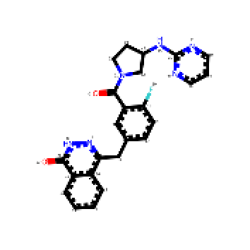 O=C(c1cc(Cc2n[nH]c(=O)c3ccccc23)ccc1F)N1CCC(Nc2ncccn2)C1